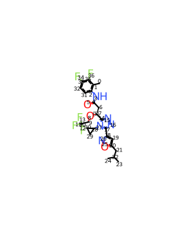 Cc1c(NC(=O)C[C@H](OCC(F)(F)F)c2nnc(-c3cc(CC(C)C)on3)n2C2CC2)ccc(F)c1F